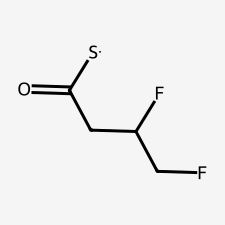 O=C([S])CC(F)CF